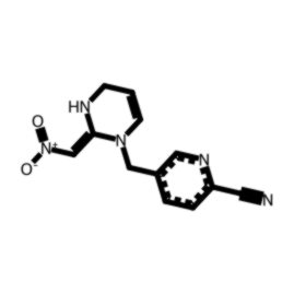 N#Cc1ccc(CN2C=CCNC2=C[N+](=O)[O-])cn1